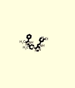 CCc1cc(-c2cc3c(N4CCC(C)(c5nc(C)c(-c6ccccc6)[nH]5)CC4)ncnc3[nH]2)ccn1